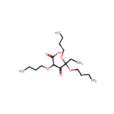 CCCCOC(C(=O)O)C(=O)C(CC)(OCCCC)OCCCC